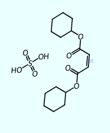 O=C(/C=C\C(=O)OC1CCCCC1)OC1CCCCC1.O=S(=O)(O)O